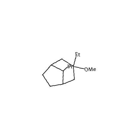 CCC1(OC)CC2CCC(C1)C2C(C)C